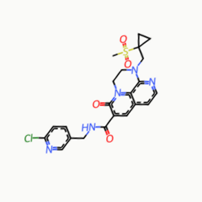 CS(=O)(=O)C1(CN2CCn3c(=O)c(C(=O)NCc4ccc(Cl)nc4)cc4ccnc2c43)CC1